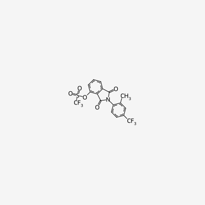 Cc1cc(C(F)(F)F)ccc1N1C(=O)c2cccc(OS(=O)(=O)C(F)(F)F)c2C1=O